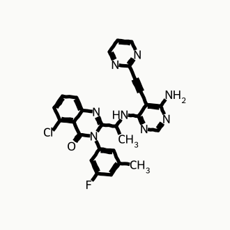 Cc1cc(F)cc(-n2c(C(C)Nc3ncnc(N)c3C#Cc3ncccn3)nc3cccc(Cl)c3c2=O)c1